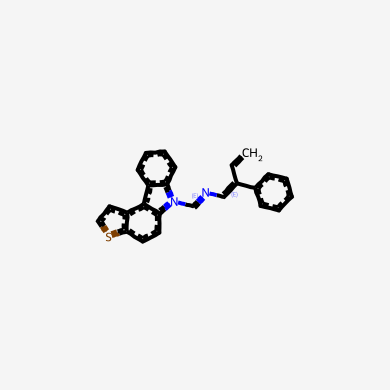 C=C/C(=C\N=C\n1c2ccccc2c2c3ccsc3ccc21)c1ccccc1